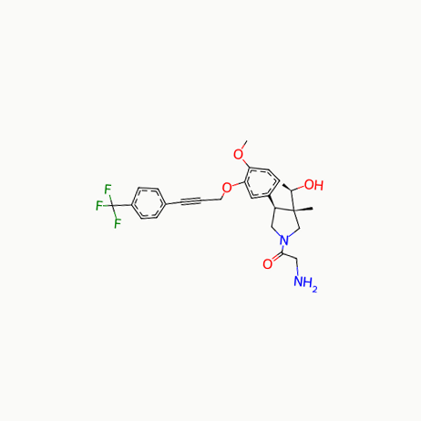 COc1ccc([C@@H]2CN(C(=O)CN)C[C@@]2(C)[C@@H](C)O)cc1OCC#Cc1ccc(C(F)(F)F)cc1